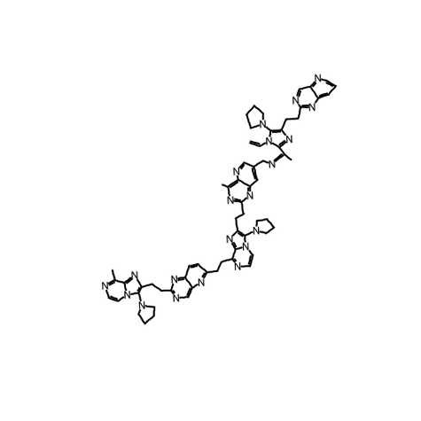 C=Cn1c(/C(C)=N\Cc2cnc3c(C)nc(CCc4nc5c(CCc6ccc7nc(CCc8nc9c(C)nccn9c8N8CCCC8)ncc7n6)nccn5c4N4CCCC4)nc3c2)nc(CCc2ncc3ncccc3n2)c1N1CCCC1